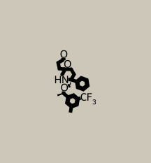 Cc1cc([C@@H](C)OC[C@@]2(c3ccccc3)CCC3(CCC(=O)O3)CN2)cc(C(F)(F)F)c1